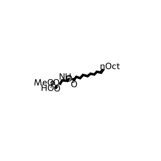 CCCCCCCC/C=C\CCCCCCCC(=O)OC[C@H](N)COP(=O)(O)OC